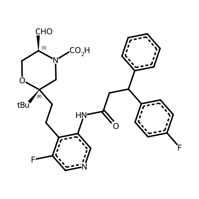 CC(C)(C)[C@]1(CCc2c(F)cncc2NC(=O)CC(c2ccccc2)c2ccc(F)cc2)CN(C(=O)O)[C@H](C=O)CO1